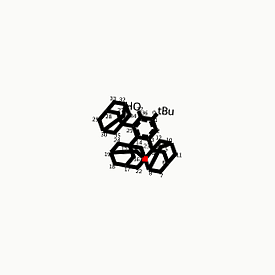 CC(C)(C)c1cc(C23CC4CC(CC(C4)C2)C3)c(C23CC4CC(CC(C4)C2)C3)c(C23CC4CC(CC(C4)C2)C3)c1O